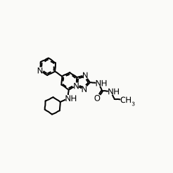 CCNC(=O)Nc1nc2cc(-c3cccnc3)cc(NC3CCCCC3)n2n1